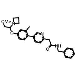 COCC(Oc1ccc(-c2ccc(CC(=O)NCc3ccccc3)nc2)c(C)c1)N1CCC1